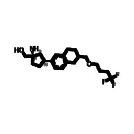 N[C@]1(CO)CC[C@H](c2ccc3c(c2)CCC(COCCCC(F)(F)F)C3)C1